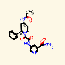 CC(=O)N[C@H]1CCN(C(=O)C(=O)Nc2cncc(C(N)=O)c2)[C@@H](c2ccccc2)C1